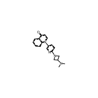 CN(C)C1CN(c2ccc(-n3ccc(=O)c4ccccc43)cn2)C1